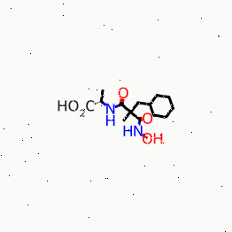 C[C@H](NC(=O)C(C)(CC1CCCCC1)C(=O)NO)C(=O)O